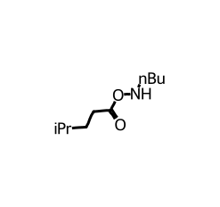 CCCCNOC(=O)CCC(C)C